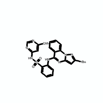 COc1cc(NS(=O)(=O)c2ccccc2Nc2nc3cc(C(C)(C)C)nn3c3ccccc23)ncn1